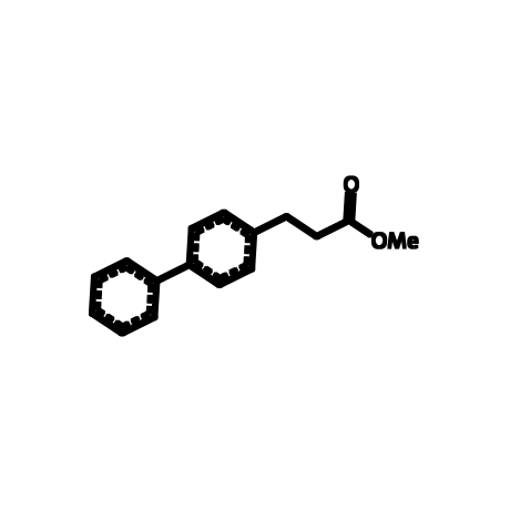 COC(=O)CCc1ccc(-c2ccccc2)cc1